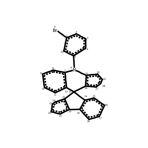 Brc1cccc(N2c3ccccc3C3(c4ccccc4-c4ccccc43)c3ccccc32)c1